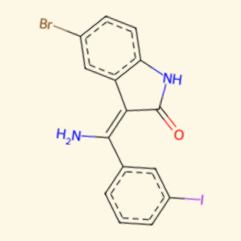 NC(=C1C(=O)Nc2ccc(Br)cc21)c1cccc(I)c1